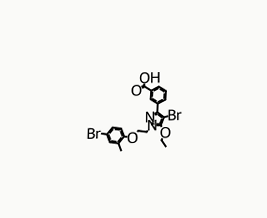 CCOc1c(Br)c(-c2cccc(C(=O)O)c2)nn1CCOc1ccc(Br)cc1C